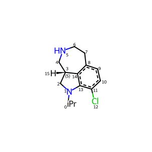 CC(C)N1C[C@@H]2CNCCc3ccc(Cl)c1c32